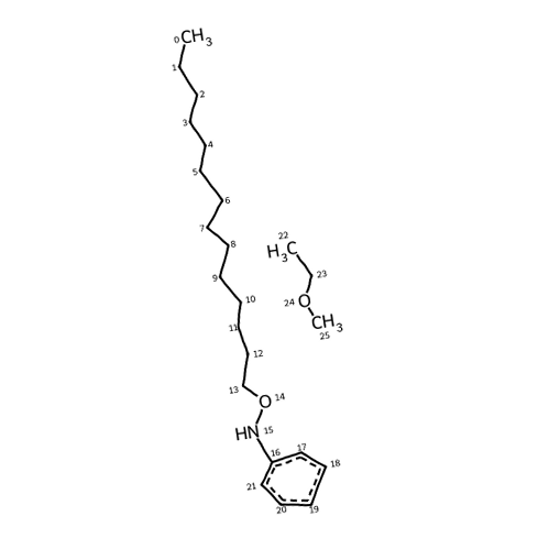 CCCCCCCCCCCCCCONc1ccccc1.CCOC